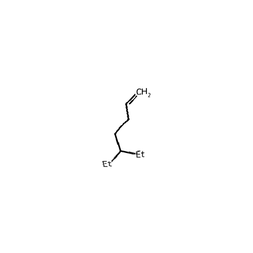 C=CCCC(CC)CC